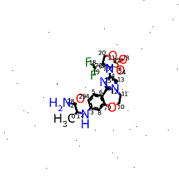 CC(Nc1ccc2c(c1)OCCn1cc(N3[C@H](C(F)F)COS3(=O)=O)nc1-2)C(N)=O